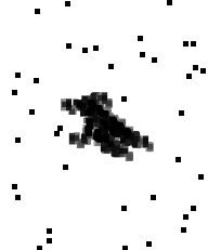 CCCCCNc1nc(N)nc(C)c1CCCN(Cc1cccc(CC(=O)OC)c1)C(=O)CN1CCC[C@@H]1OC(=O)OC